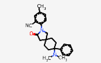 Cc1ccc(N2CC3(CCC(c4ccccc4)(N(C)C)CC3)CC2=O)c(C#N)c1